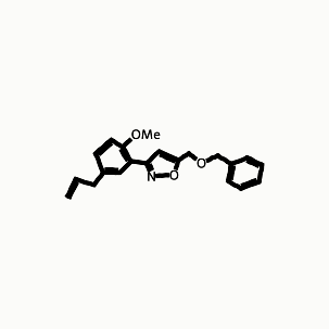 C=CCc1ccc(OC)c(-c2cc(COCc3ccccc3)on2)c1